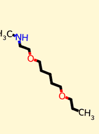 CCCOCCCCCOCCNC